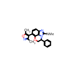 CNc1nc2ccc(-c3c(C)noc3C)c3c2n1C(c1ccccc1)CO3